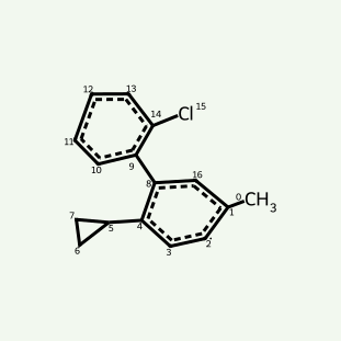 Cc1[c]cc(C2CC2)c(-c2ccccc2Cl)c1